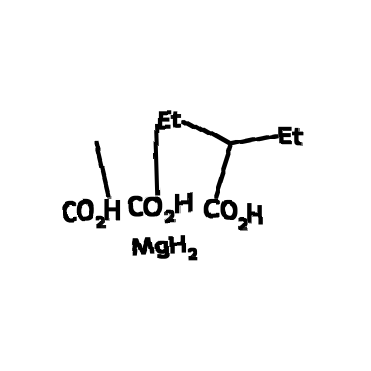 CC(=O)O.CC(=O)O.CCC(CC)C(=O)O.[MgH2]